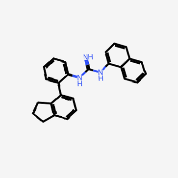 N=C(Nc1ccccc1-c1cccc2c1CCC2)Nc1cccc2ccccc12